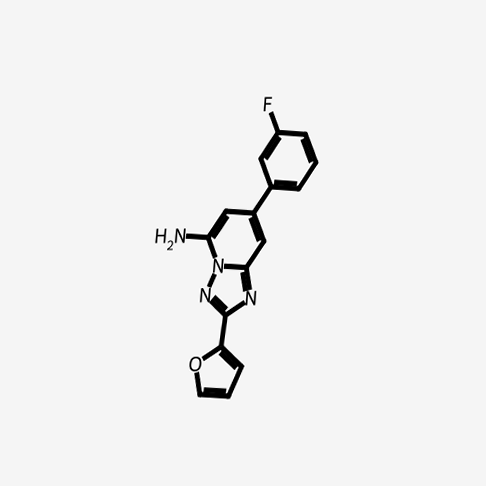 Nc1cc(-c2cccc(F)c2)cc2nc(-c3ccco3)nn12